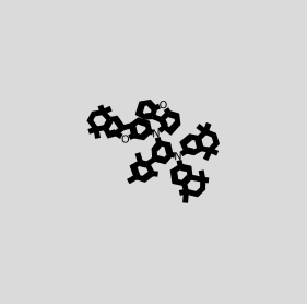 Cc1cc(C)c(-c2cc(N(c3ccc4c(c3)C(C)(C)CCC4(C)C)c3ccc4c(c3)C(C)(C)CCC4(C)C)cc(N(c3ccc4c(c3)oc3cc5c(cc34)C(C)(C)CCC5(C)C)c3cccc4oc5ccccc5c34)c2)c(C)c1